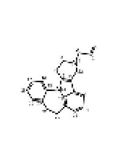 C=CCN1CCc2c(c3cccc4c3n2-c2ccccc2CC4)C1